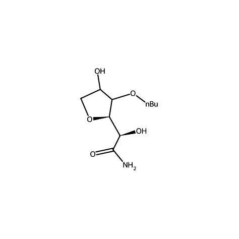 CCCCOC1C(O)CO[C@@H]1[C@@H](O)C(N)=O